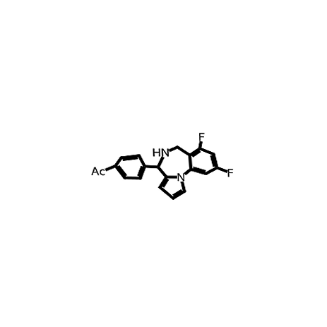 CC(=O)c1ccc(C2NCc3c(F)cc(F)cc3-n3cccc32)cc1